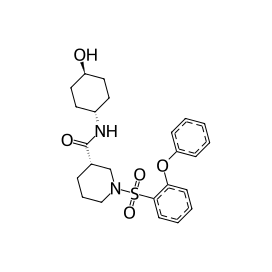 O=C(N[C@H]1CC[C@H](O)CC1)[C@H]1CCCN(S(=O)(=O)c2ccccc2Oc2ccccc2)C1